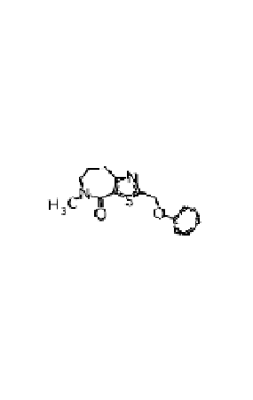 CN1CCCc2nc(COc3ccccc3)sc2C1=O